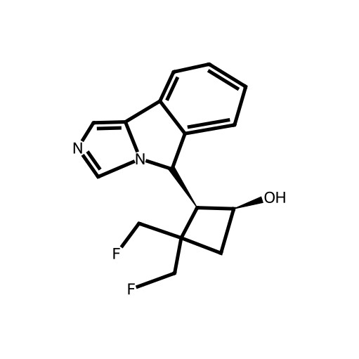 O[C@H]1CC(CF)(CF)[C@H]1C1c2ccccc2-c2cncn21